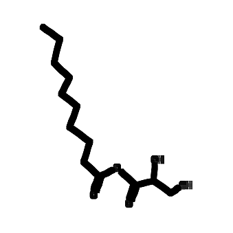 CCCCCCCCCC(=O)OC(=O)C(O)CO